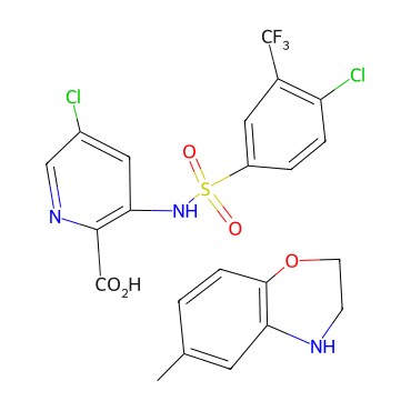 Cc1ccc2c(c1)NCCO2.O=C(O)c1ncc(Cl)cc1NS(=O)(=O)c1ccc(Cl)c(C(F)(F)F)c1